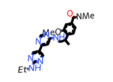 CCNc1ncc(-c2cc(NCC(C)c3ccc(C(=O)NC)cc3OC)ncn2)cn1